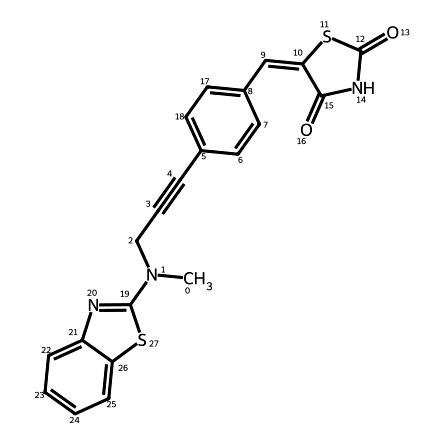 CN(CC#Cc1ccc(C=C2SC(=O)NC2=O)cc1)c1nc2ccccc2s1